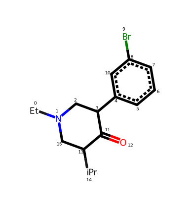 CCN1CC(c2cccc(Br)c2)C(=O)C(C(C)C)C1